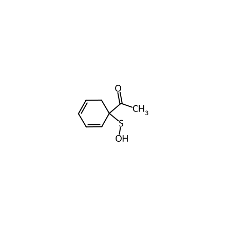 CC(=O)C1(SO)C=CC=CC1